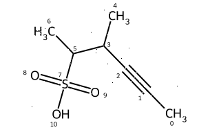 CC#CC(C)C(C)S(=O)(=O)O